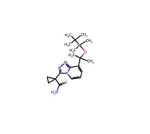 CC(C)(O[Si](C)(C)C(C)(C)C)c1cccn2c(C3(C(N)=S)CC3)nnc12